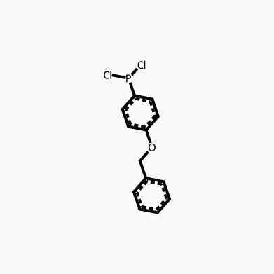 ClP(Cl)c1ccc(OCc2ccccc2)cc1